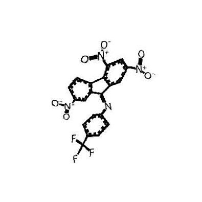 O=[N+]([O-])c1ccc2c(c1)C(=Nc1ccc(C(F)(F)F)cc1)c1cc([N+](=O)[O-])cc([N+](=O)[O-])c1-2